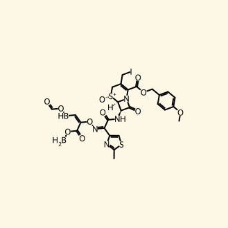 BOC(=O)/C(=C\BOC=O)O/N=C(\C(=O)N[C@@H]1C(=O)N2C(C(=O)OCc3ccc(OC)cc3)=C(CI)C[S+]([O-])[C@H]12)c1csc(C)n1